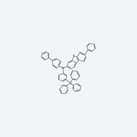 c1ccc(-c2ccc(N(c3cccc([Si](c4ccccc4)(c4ccccc4)c4ccccc4)c3)c3ccc4c(c3)sc3cc(-c5ccccc5)ccc34)cc2)cc1